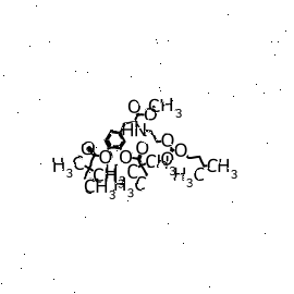 CCC(C)(C)C(=O)Oc1ccc(C[C@H](NCCOC(=O)OCCC(C)C)C(=O)OC)cc1OC(=O)C(C)(C)CC